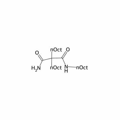 CCCCCCCCNC(=O)C(CCCCCCCC)(CCCCCCCC)C(N)=O